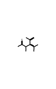 C=C(C)C(=C(C)C)C(C)C(C)=S